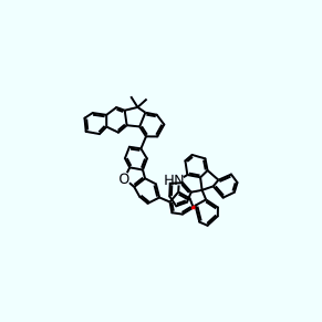 CC1(C)c2cc3ccccc3cc2-c2c(-c3ccc4oc5ccc(-c6ccccc6Nc6cccc7c6C(c6ccccc6)(c6ccccc6)c6ccccc6-7)cc5c4c3)cccc21